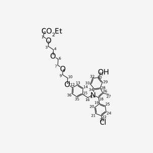 CCOC(=O)COCCOCCOCCOc1ccc(Cn2c(-c3ccc(Cl)cc3)c(C)c3cc(O)ccc32)cc1